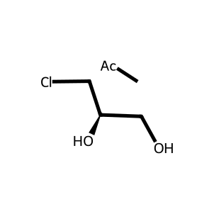 CC(C)=O.OC[C@@H](O)CCl